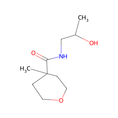 CC(O)CNC(=O)C1(C)CCOCC1